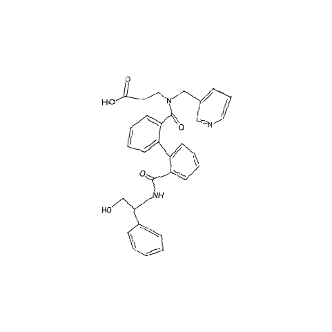 O=C(O)CCN(Cc1cccnc1)C(=O)c1ccccc1-c1ccccc1C(=O)NC(CO)c1ccccc1